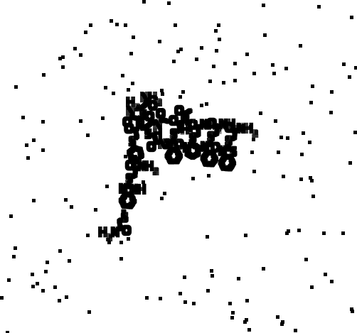 CC(=O)NC(=O)C(SCC(N)=O)N(C(=O)CSc1ccncc1)C(SCC(N)=O)C(N)=O.CC(=O)NC(=O)CSc1nc2ccccc2o1.CSCC(N)=O.NC(=O)CSc1ccccn1.NC(=O)CSc1nc2ccccc2[nH]1.NC(=O)CSc1nc2ccccc2o1.NC(=O)CSc1nc2ccccc2s1